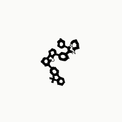 CC1(C)c2ccccc2-c2ccc(-c3cccc4c3oc3c(-c5cccc(-c6nc7ccccn7c6-c6ccccc6)c5)cccc34)cc21